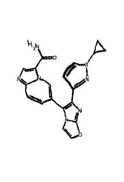 NC(=O)c1cnc2ccc(-c3c(-c4ccn(C5CC5)n4)nc4occn34)cn12